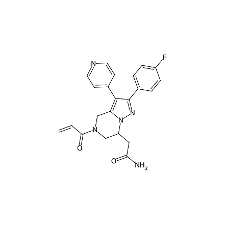 C=CC(=O)N1Cc2c(-c3ccncc3)c(-c3ccc(F)cc3)nn2C(CC(N)=O)C1